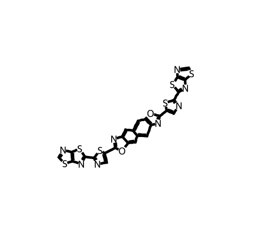 c1nc2sc(-c3ncc(-c4nc5cc6cc7oc(-c8cnc(-c9nc%10scnc%10s9)s8)nc7cc6cc5o4)s3)nc2s1